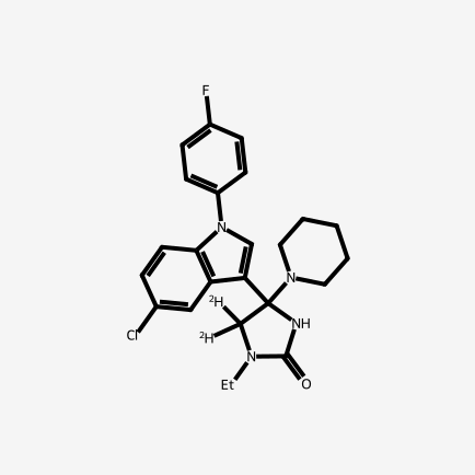 [2H]C1([2H])N(CC)C(=O)NC1(c1cn(-c2ccc(F)cc2)c2ccc(Cl)cc12)N1CCCCC1